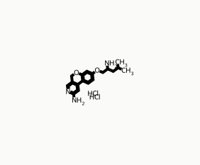 CC(C)CC(N)COc1ccc2c(c1)OCc1cnc(N)cc1-2.Cl.Cl